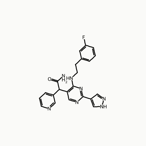 NC(=O)C(c1cccnc1)c1cnc(-c2cn[nH]c2)nc1NCCc1cccc(F)c1